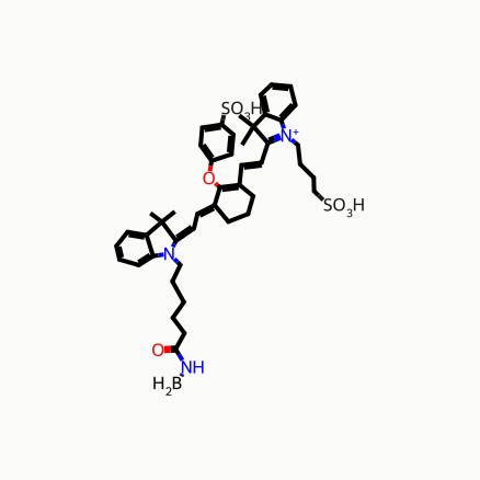 BNC(=O)CCCCCN1/C(=C/C=C2\CCCC(/C=C/C3=[N+](CCCCS(=O)(=O)O)c4ccccc4C3(C)C)=C2Oc2ccc(S(=O)(=O)O)cc2)C(C)(C)c2ccccc21